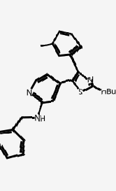 CCCCc1nc(-c2cccc(C)c2)c(-c2ccnc(NCc3ccccc3)c2)s1